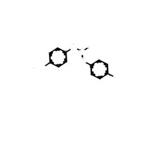 CCCP(Oc1ccc(C)cc1)Oc1ccc(C)cc1